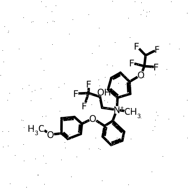 COc1ccc(Oc2ccccc2[N+](C)(CC(O)C(F)(F)F)c2cccc(OC(F)(F)C(F)F)c2)cc1